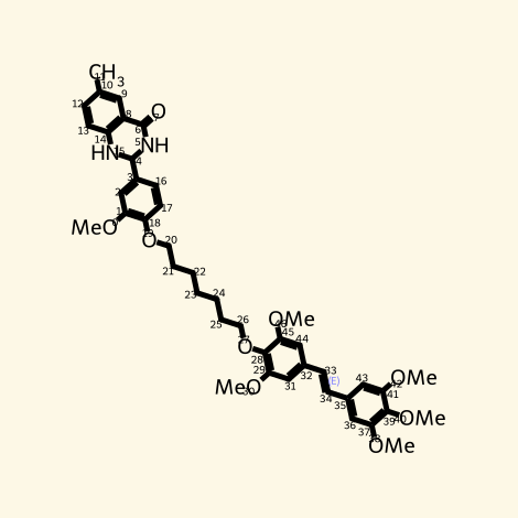 COc1cc(C2NC(=O)c3cc(C)ccc3N2)ccc1OCCCCCCCOc1c(OC)cc(/C=C/c2cc(OC)c(OC)c(OC)c2)cc1OC